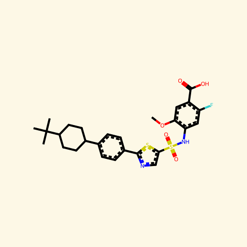 COc1cc(C(=O)O)c(F)cc1NS(=O)(=O)c1cnc(-c2ccc(C3CCC(C(C)(C)C)CC3)cc2)s1